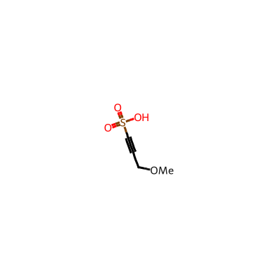 COCC#CS(=O)(=O)O